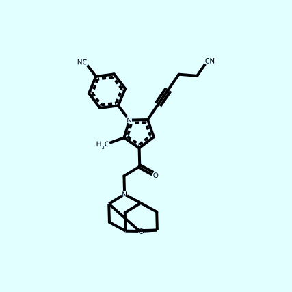 Cc1c(C(=O)CN2C3CC4CC2CC(C3)O4)cc(C#CCCC#N)n1-c1ccc(C#N)cc1